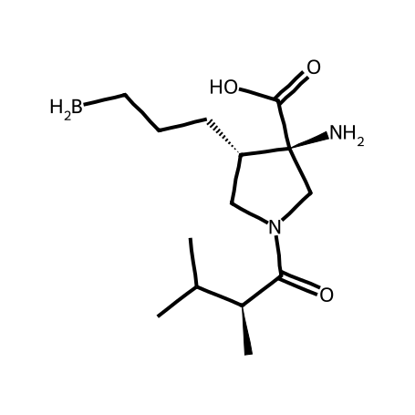 BCCC[C@H]1CN(C(=O)[C@@H](C)C(C)C)C[C@@]1(N)C(=O)O